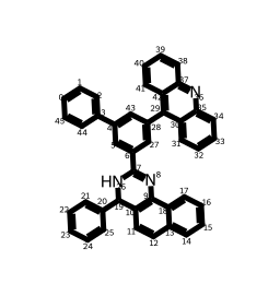 c1ccc(-c2cc(C3=Nc4c(ccc5ccccc45)C(c4ccccc4)N3)cc(-c3c4ccccc4nc4ccccc34)c2)cc1